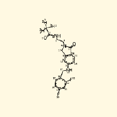 [2H]C([2H])([2H])C(=O)NCCN1Cc2nc(NCc3ccc(F)cc3F)ccc2C1=O